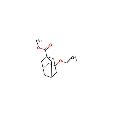 C=COC12CC3CC(C1)CC(C(=O)OC(C)(C)C)(C3)C2